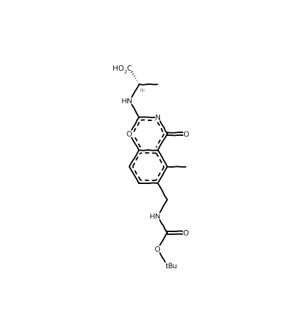 Cc1c(CNC(=O)OC(C)(C)C)ccc2oc(N[C@@H](C)C(=O)O)nc(=O)c12